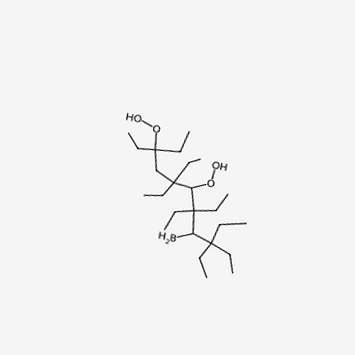 BC(C(CC)(CC)CC)C(CC)(CC)C(OO)C(CC)(CC)CC(CC)(CC)OO